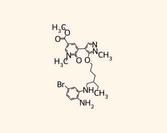 CCC(CCCOc1c(-c2cc(C(=O)OC)cn(C)c2=O)cnn1C)CNc1cc(Br)ccc1N